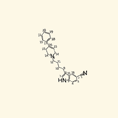 N#Cc1ccc2[nH]cc(CCCCN3CC=C(c4ccccc4)CC3)c2c1